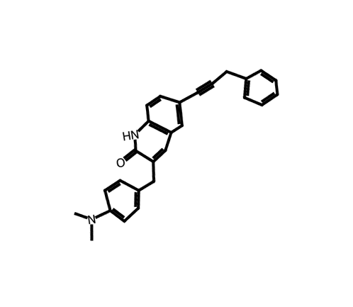 CN(C)c1ccc(Cc2cc3cc(C#CCc4ccccc4)ccc3[nH]c2=O)cc1